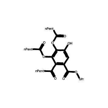 CCCCCC(=O)Oc1c(O)cc(C(=O)OCCC)c(C(=O)CCCCC)c1OC(=O)CCCCC